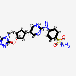 CC(C)n1cnnc1O[C@H]1CC[C@@H](c2cnc(Nc3ccc(S(N)(=O)=O)cc3)nc2)C1